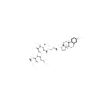 COC1C(C(=O)NCCC(=O)O[C@H]2CC[C@H]3[C@@H]4CCc5cc(O)ccc5[C@H]4CC[C@]23C)OC(OC2C(O)C(CO)OC(C)C2NC(C)=O)C(O)C1O